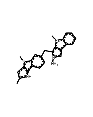 Cc1cc2c([nH]1)c1ccc(Cc3c4c(cn3N)c3ccccc3n4C)cc1n2C